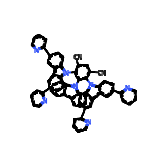 N#Cc1cc(C#N)c(-n2c3ccc(-c4ccccn4)cc3c3cc(-c4ccccn4)ccc32)c(-n2c3ccccc3c3ccccc32)c1-n1c2ccc(-c3ccccn3)cc2c2cc(-c3ccccn3)ccc21